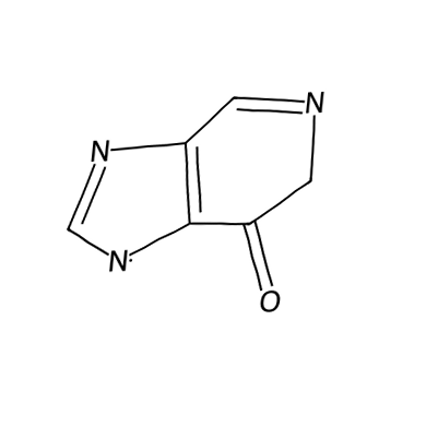 O=C1CN=CC2=C1[N]C=N2